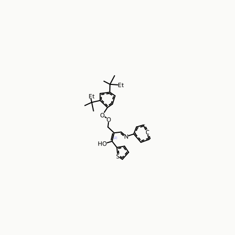 CCC(C)(C)c1ccc(OOC/C(C=Nc2ccccc2)=C(\O)c2cccs2)c(C(C)(C)CC)c1